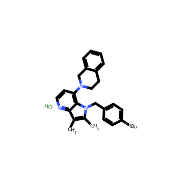 Cc1c(C)n(Cc2ccc(C(C)(C)C)cc2)c2c(N3CCc4ccccc4C3)ccnc12.Cl